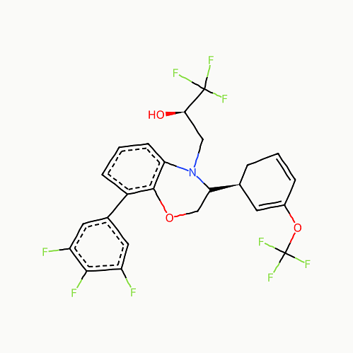 O[C@H](CN1c2cccc(-c3cc(F)c(F)c(F)c3)c2OCC1[C@@H]1C=C(OC(F)(F)F)C=CC1)C(F)(F)F